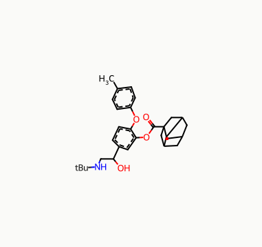 Cc1ccc(Oc2ccc(C(O)CNC(C)(C)C)cc2OC(=O)C23CC4CC(CC(C4)C2)C3)cc1